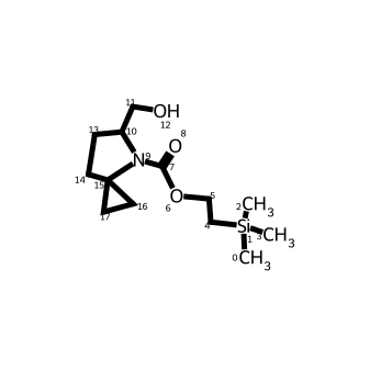 C[Si](C)(C)CCOC(=O)N1C(CO)CCC12CC2